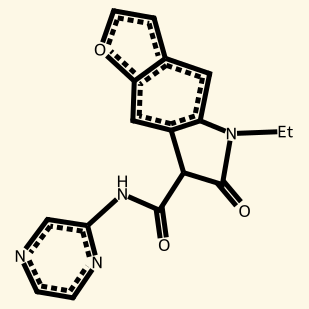 CCN1C(=O)C(C(=O)Nc2cnccn2)c2cc3occc3cc21